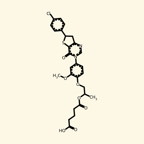 COc1cc(-n2cnc3c(c2=O)SC(c2ccc(Cl)cc2)C3)ccc1OCC(C)OC(=O)CCCC(=O)O